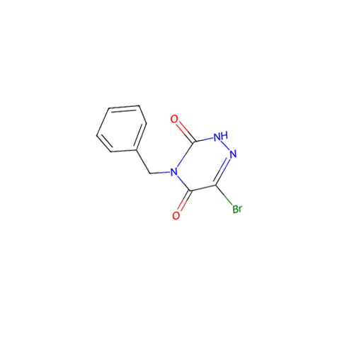 O=c1[nH]nc(Br)c(=O)n1Cc1ccccc1